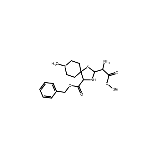 CN1CCC2(CC1)SC(C(N)C(=O)OC(C)(C)C)NC2C(=O)OCc1ccccc1